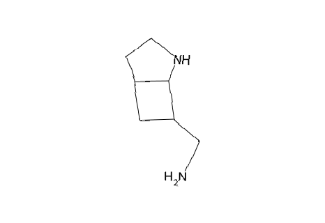 NCC1CC2CCNC12